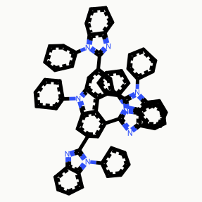 c1ccc(-n2c(-c3cc(-c4nc5ccccc5n4-c4ccccc4)c4c5c(-c6nc7ccccc7n6-c6ccccc6)cc(-c6nc7ccccc7n6-c6ccccc6)cc5n(-c5ccccc5)c4c3)nc3ccccc32)cc1